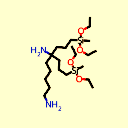 CCO[Si](C)(CCCC(N)(CCCCCN)CCC[Si](C)(OCC)OCC)OCC